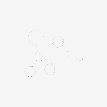 CCOC(=O)COc1cccc(CC2CCCCC/C=C\2c2nc(-c3ccccc3)c(-c3ccccc3)o2)c1